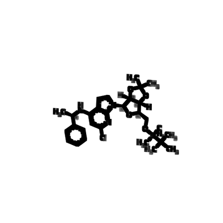 C[C@@H](Nc1cc(Cl)nc2c1ccn2[C@@H]1O[C@H](CO[Si](C)(C)C(C)(C)C)[C@H]2OC(C)(C)O[C@H]21)c1ccccc1